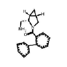 NC[C@@H]1[C@@H]2C[C@@H]2CN1C(=O)c1ccccc1-c1ccccc1